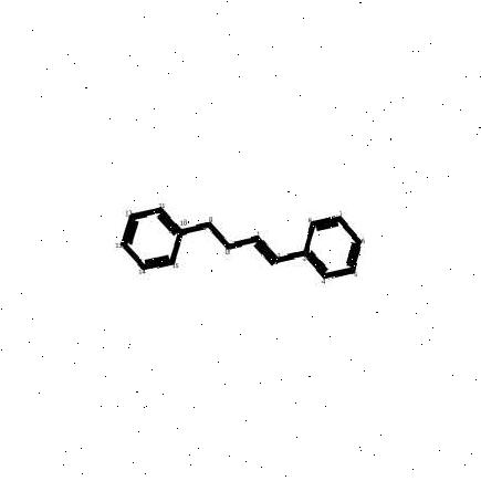 [CH](C=Cc1ccccc1)Cc1ccccc1